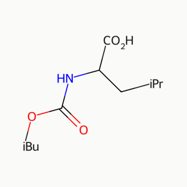 CCC(C)OC(=O)NC(CC(C)C)C(=O)O